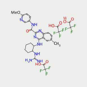 COc1ccc(NC(=O)c2nc(NC3CCCCC3NC(=N)N)c3cc(C)ccc3n2)cn1.O=C(O)C(F)(F)F.O=C(O)C(F)(F)F.O=C(O)C(F)(F)F